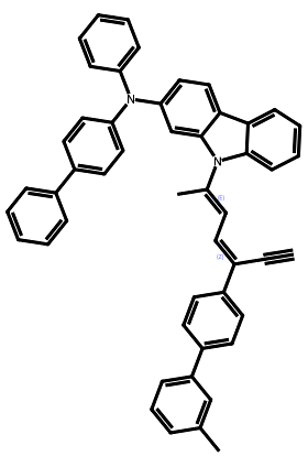 C#C/C(=C\C=C(/C)n1c2ccccc2c2ccc(N(c3ccccc3)c3ccc(-c4ccccc4)cc3)cc21)c1ccc(-c2cccc(C)c2)cc1